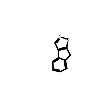 c1ccc2c(c1)Cc1sncc1-2